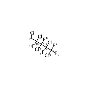 FC(F)(Cl)C(F)(Cl)C(F)(Cl)C(F)(Cl)CCl